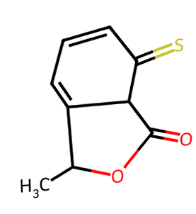 CC1OC(=O)C2C(=S)C=CC=C12